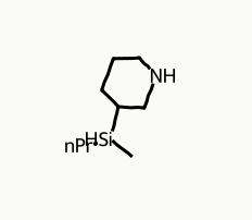 CCC[SiH](C)C1CCCNC1